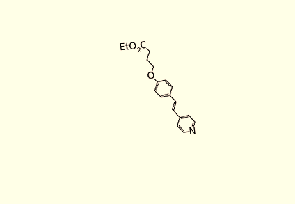 CCOC(=O)CCCOc1ccc(C=Cc2ccncc2)cc1